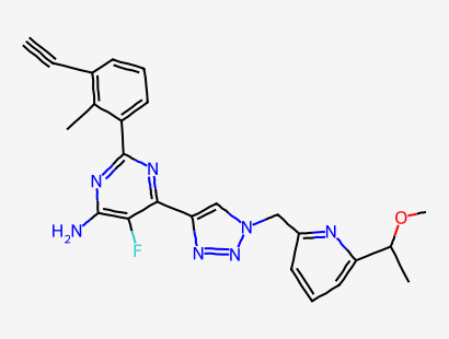 C#Cc1cccc(-c2nc(N)c(F)c(-c3cn(Cc4cccc(C(C)OC)n4)nn3)n2)c1C